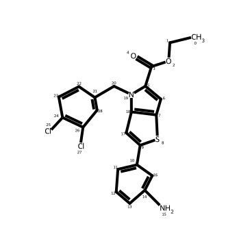 CCOC(=O)c1cc2sc(-c3cccc(N)c3)cc2n1Cc1ccc(Cl)c(Cl)c1